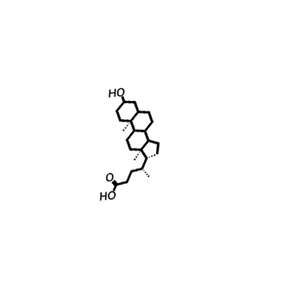 C[C@H](CCC(=O)O)[C@H]1CCC2C3CCC4CC(O)CC[C@]4(C)C3CC[C@@]21C